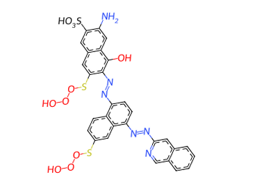 Nc1cc2c(O)c(N=Nc3ccc(N=Nc4cc5ccccc5cn4)c4cc(SOOO)ccc34)c(SOOO)cc2cc1S(=O)(=O)O